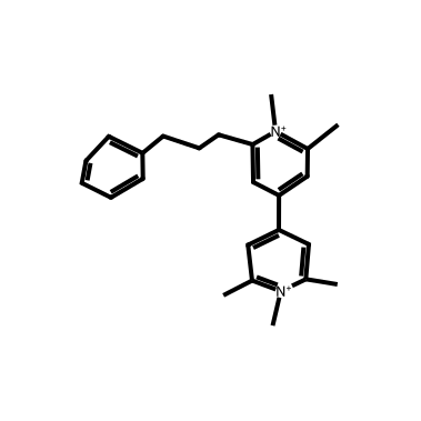 Cc1cc(-c2cc(C)[n+](C)c(CCCc3ccccc3)c2)cc(C)[n+]1C